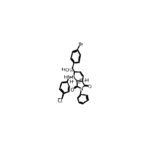 O=C1[C@@H]2[C@@H](C=CC([C@H](O)c3ccc(Br)cc3)N2Nc2ccc(Cl)cc2)C(=O)N1c1ccccc1